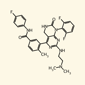 Cc1ccc(C(=O)Nc2ccc(F)cc2)cc1-c1nc(NCCN(C)C)nc2c1CNC(=O)N2c1c(F)cccc1F